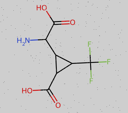 NC(C(=O)O)C1C(C(=O)O)C1C(F)(F)F